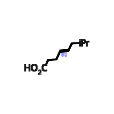 CC(C)C/C=C/CCC(=O)O